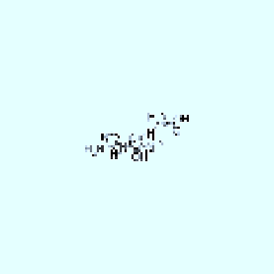 Nc1ncnc2c1ncn2[C@@H]1O[C@H](CN(CCI)CC[C@H](N)C(=O)O)C(O)[C@@H]1O